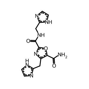 NC(=O)c1oc(C(=O)NCc2ncc[nH]2)nc1Cc1ncc[nH]1